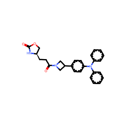 O=C1N[C@H](CCC(=O)N2CC(c3ccc(N(c4ccccc4)c4ccccc4)cc3)C2)CO1